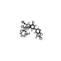 Cn1c(=O)oc2ccc(-c3cc(F)c(CC(C#N)NC(=O)[C@H]4CNCCCO4)c(Cl)c3)cc21